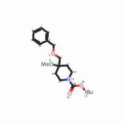 COC1(COCc2ccccc2)CCN(C(=O)OC(C)(C)C)CC1